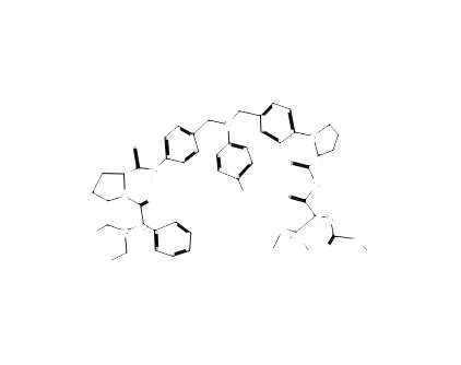 CCN(CC)[C@@H](C(=O)N1CCC[C@H]1C(=O)Nc1ccc(CN(Cc2ccc(N3CCC[C@H]3C(=O)NC(=O)[C@@H](NC(=O)OC)[C@@H](C)OC)cc2)c2ccc(F)cc2)cc1)c1ccccc1